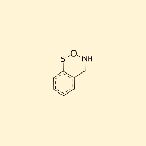 c1ccc2c(c1)CNOS2